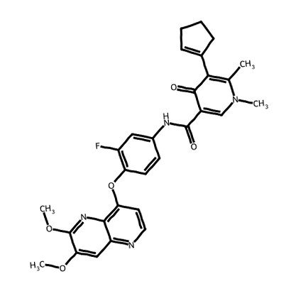 COc1cc2nccc(Oc3ccc(NC(=O)c4cn(C)c(C)c(C5=CCCC5)c4=O)cc3F)c2nc1OC